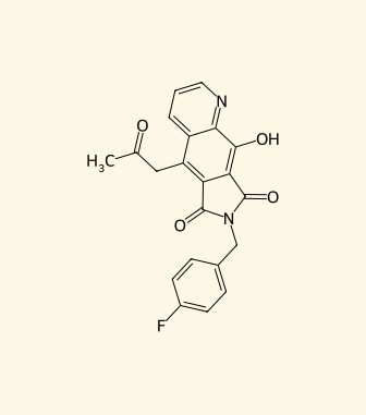 CC(=O)Cc1c2c(c(O)c3ncccc13)C(=O)N(Cc1ccc(F)cc1)C2=O